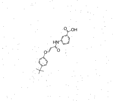 CC(C)(C)c1ccc(OC=CC(=O)Nc2cccc(C(=O)O)c2)cc1